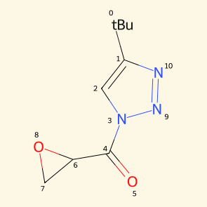 CC(C)(C)c1cn(C(=O)C2CO2)nn1